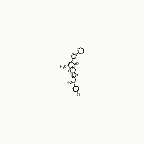 Cc1cn(-c2cnn(C3CCCCO3)c2)c(=O)n(Cc2nc(CC(O)c3ccc(Cl)cc3)no2)c1=O